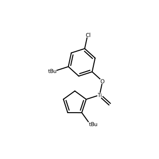 [CH2]=[Ti]([O]c1cc(Cl)cc(C(C)(C)C)c1)[C]1=C(C(C)(C)C)C=CC1